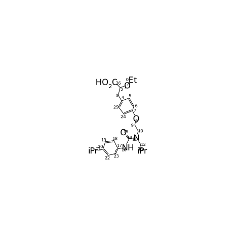 CCOC(Cc1ccc(OCCN(CC(C)C)C(=O)Nc2ccc(C(C)C)cc2)cc1)C(=O)O